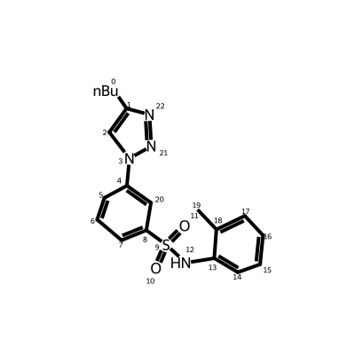 CCCCc1cn(-c2cccc(S(=O)(=O)Nc3ccccc3C)c2)nn1